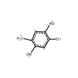 Cc1cc(N=O)c(Cl)cc1N=O